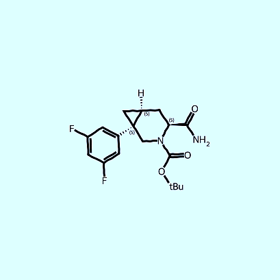 CC(C)(C)OC(=O)N1C[C@@]2(c3cc(F)cc(F)c3)C[C@H]2C[C@H]1C(N)=O